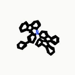 CC12c3ccccc3-c3cccc(c31)N(c1ccc3c(c1)C1(c4ccccc4-c4ccccc41)c1ccccc1-3)c1ccc(-c3ccccc3)cc12